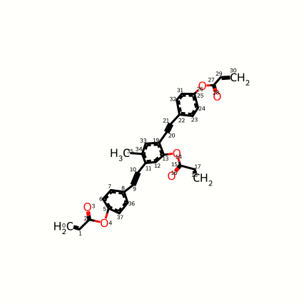 C=CC(=O)Oc1ccc(C#Cc2cc(OC(=O)C=C)c(C#Cc3ccc(OC(=O)C=C)cc3)cc2C)cc1